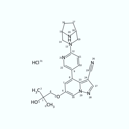 CC(C)(O)COc1cc(-c2ccc(N3CC4CCC(C3)N4)nc2)c2c(C#N)cnn2c1.Cl